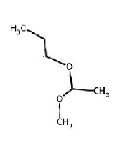 CC[CH]OC(C)OC